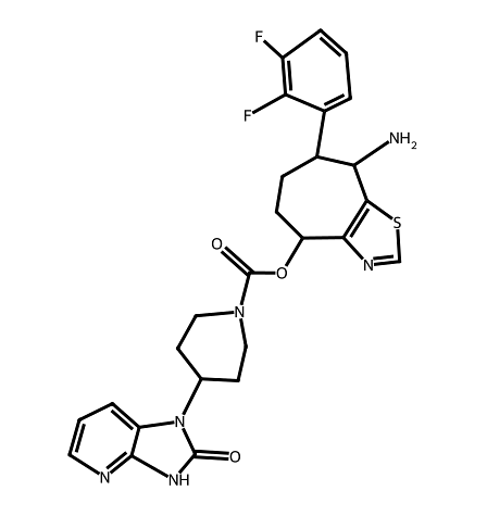 NC1c2scnc2C(OC(=O)N2CCC(n3c(=O)[nH]c4ncccc43)CC2)CCC1c1cccc(F)c1F